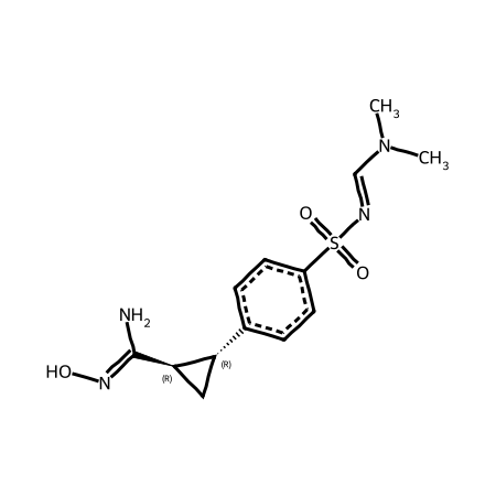 CN(C)C=NS(=O)(=O)c1ccc([C@@H]2C[C@H]2C(N)=NO)cc1